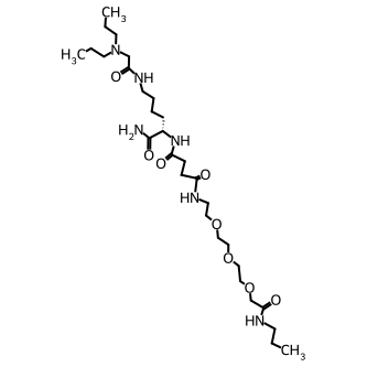 CCCNC(=O)COCCOCCOCCNC(=O)CCC(=O)N[C@@H](CCCCNC(=O)CN(CCC)CCC)C(N)=O